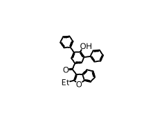 CCc1oc2ccccc2c1C(=O)c1cc(-c2ccccc2)c(O)c(-c2ccccc2)c1